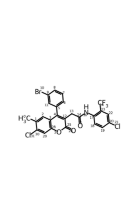 Cc1cc2c(-c3cccc(Br)c3)c(CC(=O)Nc3ccc(Cl)cc3C(F)(F)F)c(=O)oc2cc1Cl